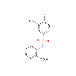 O=C(O)c1ccccc1NS(=O)(=O)c1ccc(Cl)c([N+](=O)[O-])c1